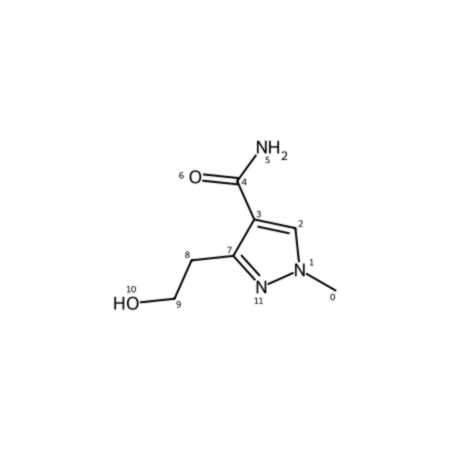 Cn1cc(C(N)=O)c(CCO)n1